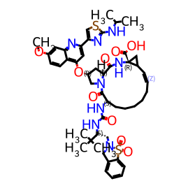 COc1ccc2c(O[C@@H]3C[C@H]4C(=O)N[C@]5(C(=O)O)CC5/C=C\CCCCC[C@H](NC(=O)N[C@H](CN5Cc6ccccc6S5(=O)=O)C(C)(C)C)C(=O)N4C3)cc(-c3csc(NC(C)C)n3)nc2c1